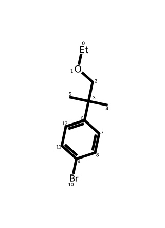 CCOCC(C)(C)c1ccc(Br)cc1